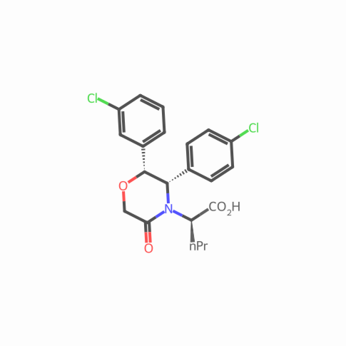 CCC[C@H](C(=O)O)N1C(=O)CO[C@H](c2cccc(Cl)c2)[C@@H]1c1ccc(Cl)cc1